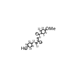 COc1ccc(C(=O)CSC(=O)[C@@H](C)Cc2ccc(O)cc2)c(C)c1